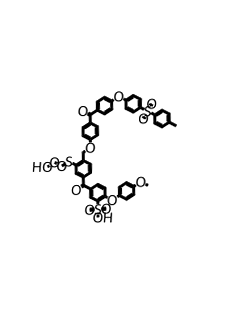 COc1ccc(Oc2ccc(C(=O)c3ccc(COc4ccc(C(=O)c5ccc(Oc6ccc(S(=O)(=O)c7ccc(C)cc7)cc6)cc5)cc4)c(SOOO)c3)cc2S(=O)(=O)O)cc1